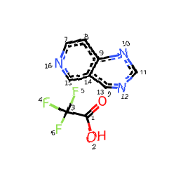 O=C(O)C(F)(F)F.c1cc2ncncc2cn1